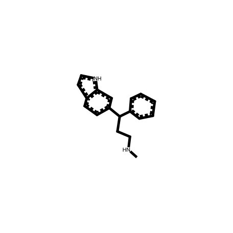 CNCCC(c1ccccc1)c1ccc2cc[nH]c2c1